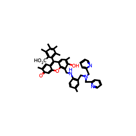 Cc1ccc(NCc2c(O)c(C)cc3c(-c4c(C)c(C)c(C)c(C)c4C(=O)O)c4cc(C)c(=O)cc-4oc23)c(CN(Cc2ccccn2)Cc2ccccn2)c1